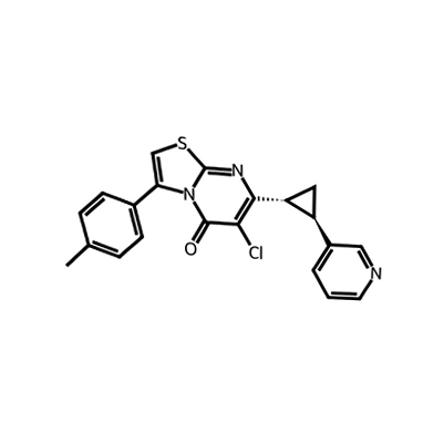 Cc1ccc(-c2csc3nc([C@@H]4C[C@H]4c4cccnc4)c(Cl)c(=O)n23)cc1